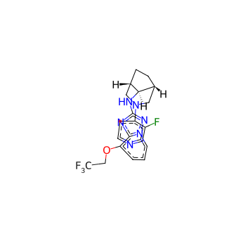 Fc1cnccc1N1C[C@H]2CC[C@@H](C1)[C@@H]2Nc1nc2c(OCC(F)(F)F)cccn2n1